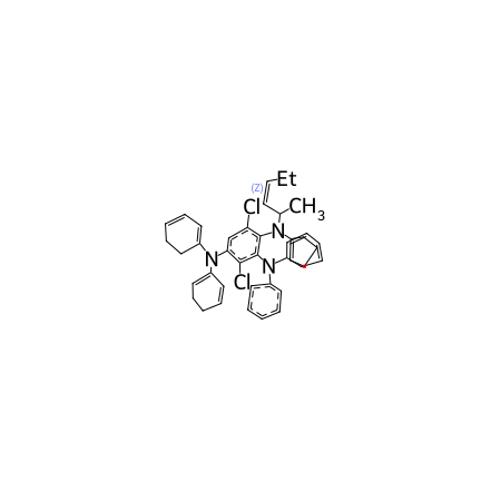 CC/C=C\C(C)N(C1=CCCC1)c1c(Cl)cc(N(C2=CCCC=C2)C2=CC=CCC2)c(Cl)c1N(c1ccccc1)C1C=CC=CC1